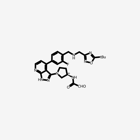 CC(C)(C)c1nc(CNCc2ccc(-c3ccnc4[nH]nc(N5CC[C@@H](NC(=O)C=O)C5)c34)cc2F)no1